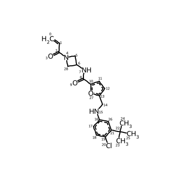 C=CC(=O)N1CC(NC(=O)c2ccc(CNc3ccc(Cl)c(C(C)(C)C)c3)o2)C1